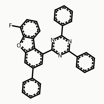 Fc1cccc2c1oc1cc(-c3ccccc3)cc(-c3nc(-c4ccccc4)nc(-c4ccccc4)n3)c12